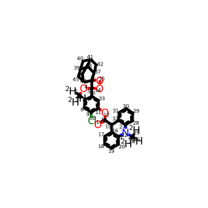 [2H]C([2H])([2H])OC1(c2ccc(Cl)c(OC(=O)C3c4ccccc4N(C([2H])([2H])[2H])c4ccccc43)c2)OOC12C1CC3CC(C1)CC2C3